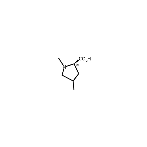 CC1C[C@H](C(=O)O)N(C)C1